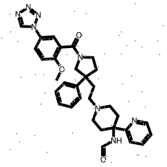 COc1ccc(-n2cnnn2)cc1C(=O)N1CCC(CCN2CCC(NC=O)(c3ccccn3)CC2)(c2ccccc2)C1